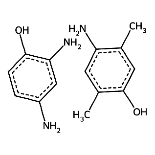 Cc1cc(O)c(C)cc1N.Nc1ccc(O)c(N)c1